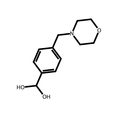 OC(O)c1ccc(CN2CCOCC2)cc1